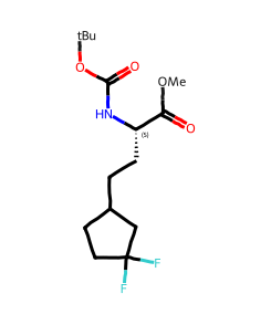 COC(=O)[C@H](CCC1CCC(F)(F)C1)NC(=O)OC(C)(C)C